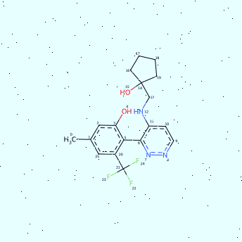 Cc1cc(O)c(-c2nnccc2NCC2(O)CCCC2)c(C(F)(F)F)c1